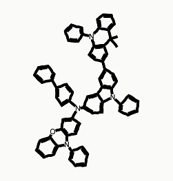 CC1(C)c2ccccc2N(c2ccccc2)c2ccc(-c3ccc4c(c3)c3cc(N(c5ccc(-c6ccccc6)cc5)c5ccc6c(c5)Oc5ccccc5N6c5ccccc5)ccc3n4-c3ccccc3)cc21